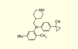 Cc1ccc(C(C)(C)C)cc1N(CC1CCNCC1)c1ccc(C2(C#N)CC2)cc1